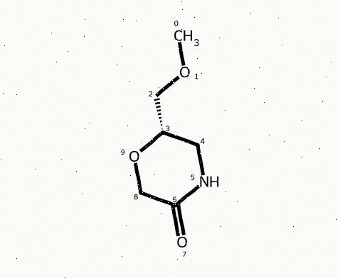 COC[C@@H]1CNC(=O)CO1